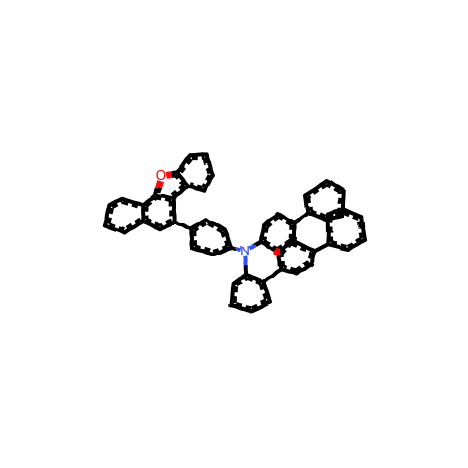 c1ccc(-c2ccc(-c3ccccc3N(c3ccc(-c4ccccc4)cc3)c3ccc(-c4cc5ccccc5c5oc6ccccc6c45)cc3)cc2)cc1